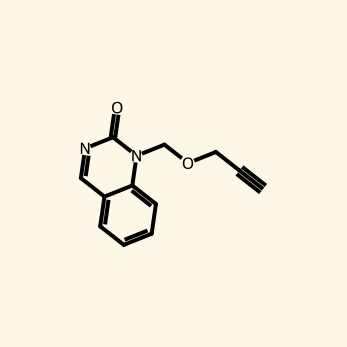 C#CCOCn1c(=O)ncc2ccccc21